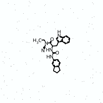 CCN(C#N)C(=O)C(Cc1c[nH]c2ccccc12)NC(=O)Nc1ccc2c(c1)CCC2